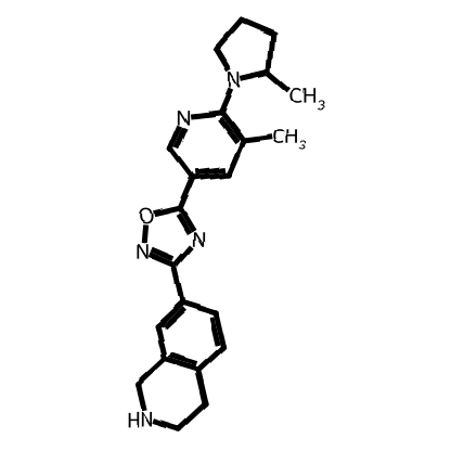 Cc1cc(-c2nc(-c3ccc4c(c3)CNCC4)no2)cnc1N1CCCC1C